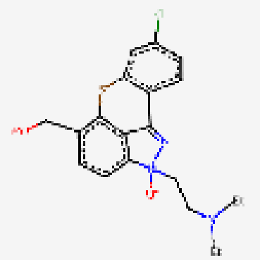 CCN(CC)CC[N+]1([O-])N=C2c3ccc(Cl)cc3Sc3c(CO)ccc1c32